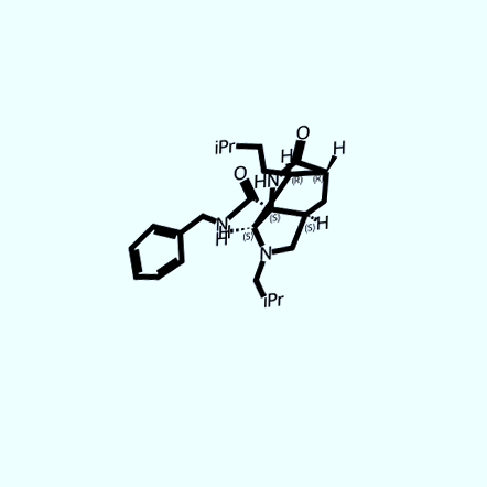 CC(C)CC[C@H]1[C@@H]2N(CC(C)C)C[C@@H]3C[C@H]1C(=O)N[C@@]32C(=O)NCc1ccccc1